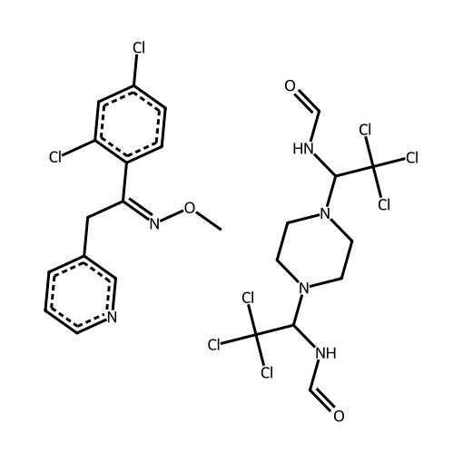 CON=C(Cc1cccnc1)c1ccc(Cl)cc1Cl.O=CNC(N1CCN(C(NC=O)C(Cl)(Cl)Cl)CC1)C(Cl)(Cl)Cl